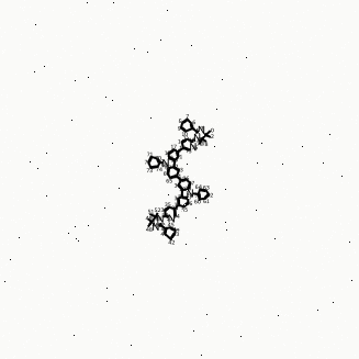 CC1(C)N=C(c2ccccc2)N(c2ccc(-c3ccc4c(c3)c3cc(-c5ccc6c(c5)c5cc(-c7ccc(N8C(c9ccccc9)=NC(C)(C)C8(C)C)nc7)ccc5n6-c5ccccc5)ccc3n4-c3ccccc3)cn2)C1(C)C